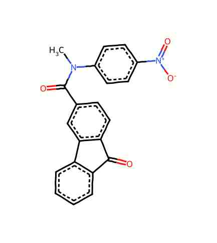 CN(C(=O)c1ccc2c(c1)-c1ccccc1C2=O)c1ccc([N+](=O)[O-])cc1